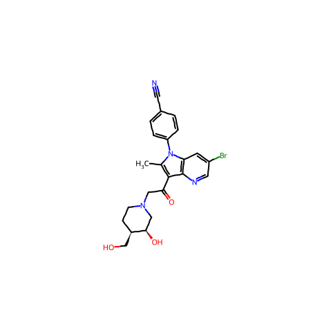 Cc1c(C(=O)CN2CC[C@H](CO)[C@H](O)C2)c2ncc(Br)cc2n1-c1ccc(C#N)cc1